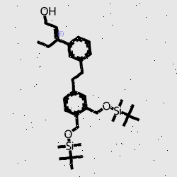 CC/C(=C\CO)c1cccc(CCc2ccc(CO[Si](C)(C)C(C)(C)C)c(CO[Si](C)(C)C(C)(C)C)c2)c1